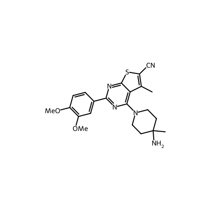 COc1ccc(-c2nc(N3CCC(C)(N)CC3)c3c(C)c(C#N)sc3n2)cc1OC